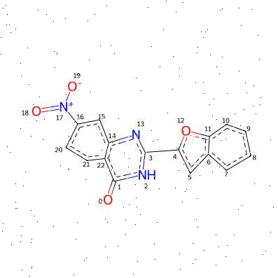 O=c1[nH]c(-c2cc3ccccc3o2)nc2cc([N+](=O)[O-])ccc12